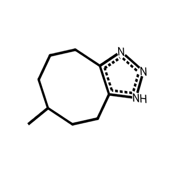 CC1CCCc2nn[nH]c2CC1